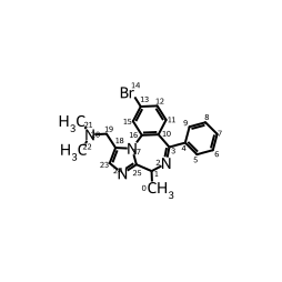 CC1N=C(c2ccccc2)c2ccc(Br)cc2-n2c(CN(C)C)cnc21